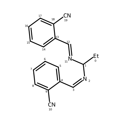 CCC(/N=C\c1ccccc1C#N)/N=C/c1ccccc1C#N